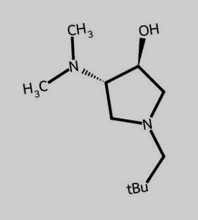 CN(C)[C@H]1CN(CC(C)(C)C)C[C@@H]1O